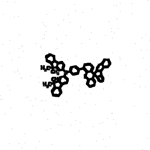 CC1(C)c2ccccc2-c2ccc(N(c3ccc(-c4cccc5c4Sc4ccccc4C54c5ccccc5-c5c4ccc4ccccc54)cc3)c3ccc4c(c3)C(C)(C)c3ccccc3-4)cc21